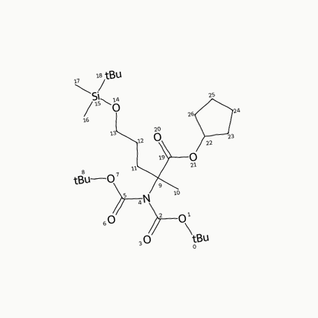 CC(C)(C)OC(=O)N(C(=O)OC(C)(C)C)C(C)(CCCO[Si](C)(C)C(C)(C)C)C(=O)OC1CCCC1